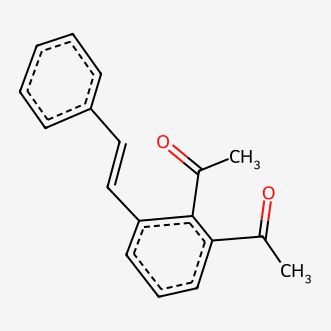 CC(=O)c1cccc(C=Cc2ccccc2)c1C(C)=O